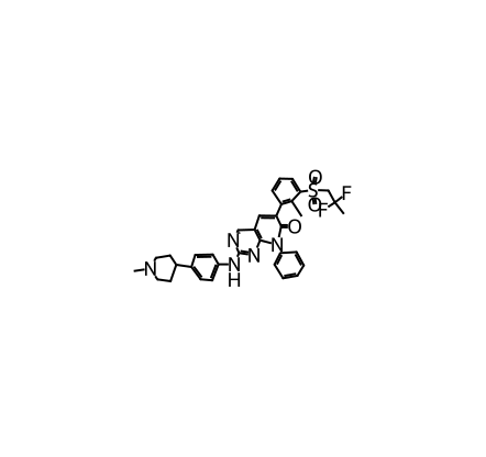 Cc1c(-c2cc3cnc(Nc4ccc(C5CCN(C)CC5)cc4)nc3n(-c3ccccc3)c2=O)cccc1S(=O)(=O)CC(C)(F)F